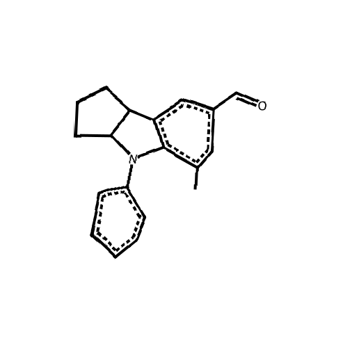 Cc1cc(C=O)cc2c1N(c1ccccc1)C1CCCC21